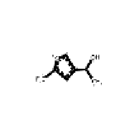 CC(O)c1csc(C(F)(F)F)c1